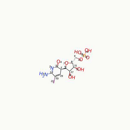 NC1=NC(=O)[C@@H](C2O[C@H](COP(=O)(O)O)[C@@H](O)[C@H]2O)C=C1I